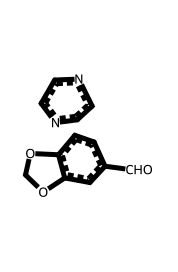 O=Cc1ccc2c(c1)OCO2.c1cnccn1